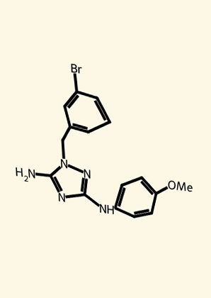 COc1ccc(Nc2nc(N)n(Cc3cccc(Br)c3)n2)cc1